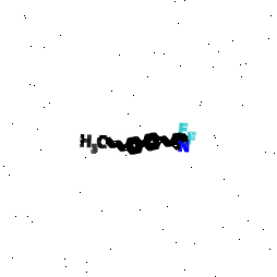 CCCCCc1ccc(-c2ccc(CCc3cnc(F)c(F)c3)cc2)cc1